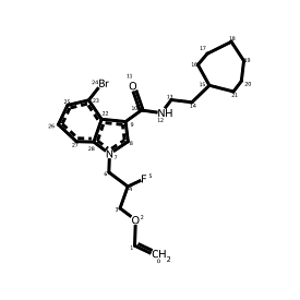 C=COCC(F)Cn1cc(C(=O)NCCC2CCCCCC2)c2c(Br)cccc21